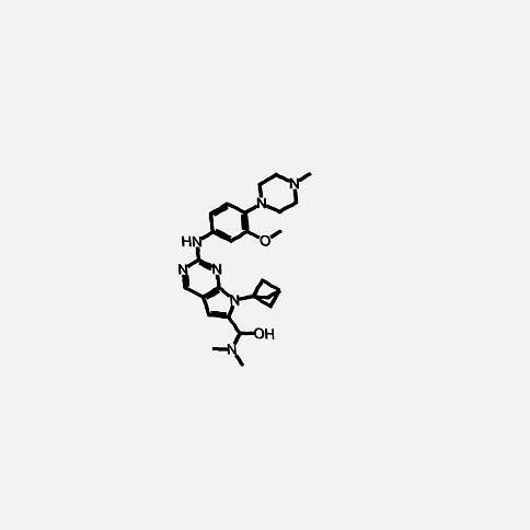 COc1cc(Nc2ncc3cc(C(O)N(C)C)n(C45CC(C4)C5)c3n2)ccc1N1CCN(C)CC1